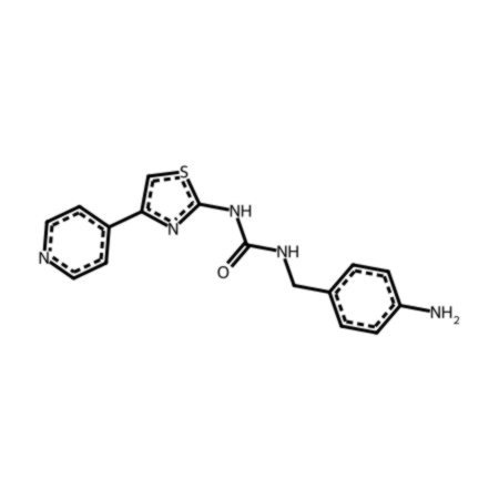 Nc1ccc(CNC(=O)Nc2nc(-c3ccncc3)cs2)cc1